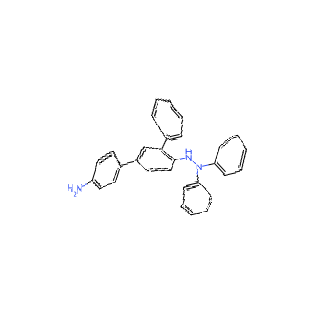 Nc1ccc(-c2ccc(NN(c3ccccc3)c3ccccc3)c(-c3ccccc3)c2)cc1